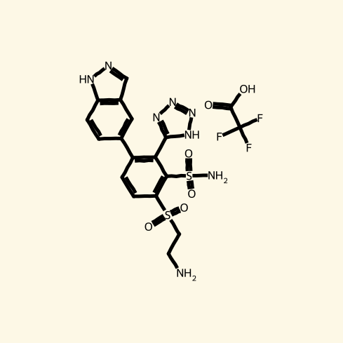 NCCS(=O)(=O)c1ccc(-c2ccc3[nH]ncc3c2)c(-c2nnn[nH]2)c1S(N)(=O)=O.O=C(O)C(F)(F)F